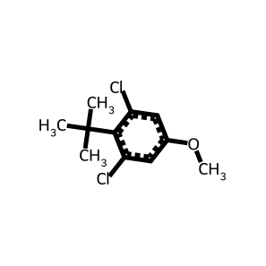 COc1cc(Cl)c(C(C)(C)C)c(Cl)c1